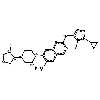 Cc1cc2cnc(Nc3cnn(C4CC4)c3Cl)nc2cc1[C@H]1CCN([C@H]2COC[C@H]2F)C[C@H]1F